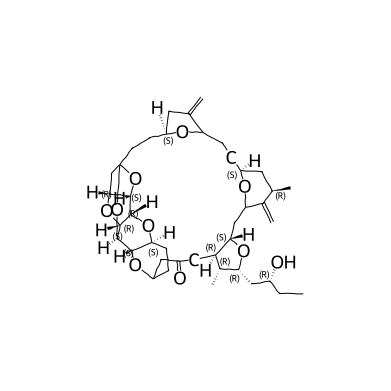 C=C1C[C@@H]2CCC34C[C@H]5O[C@H]6[C@@H](O3)[C@H]3OC(CC[C@@H]3O[C@H]6[C@H]5O4)CC(=O)C[C@@H]3[C@@H](C)[C@@H](C[C@H](O)CC)O[C@H]3CC3O[C@@H](CCC1O2)C[C@@H](C)C3=C